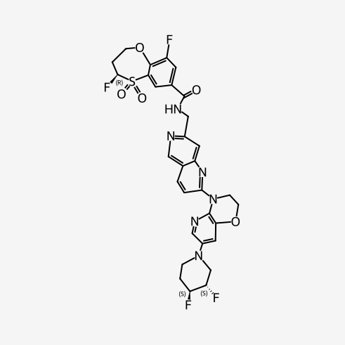 O=C(NCc1cc2nc(N3CCOc4cc(N5CC[C@H](F)[C@@H](F)C5)cnc43)ccc2cn1)c1cc(F)c2c(c1)S(=O)(=O)[C@@H](F)CCO2